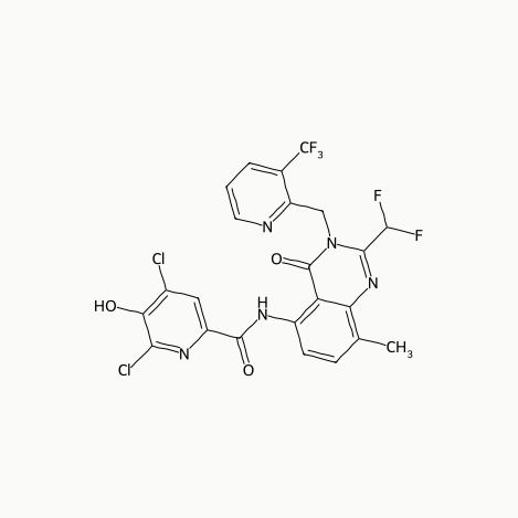 Cc1ccc(NC(=O)c2cc(Cl)c(O)c(Cl)n2)c2c(=O)n(Cc3ncccc3C(F)(F)F)c(C(F)F)nc12